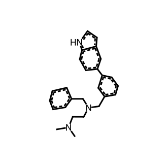 CN(C)CCN(Cc1ccccc1)Cc1cccc(-c2ccc3[nH]ccc3c2)c1